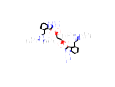 CCCN(CCC)CCc1cccc2[nH]cc(OC(=O)/C=C/C(=O)Oc3c[nH]c4cccc(CCN(CCC)CCC)c34)c12